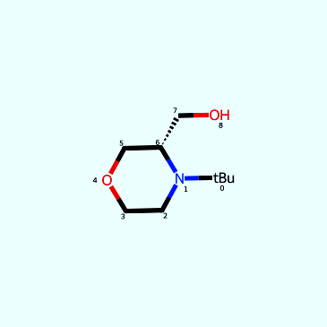 CC(C)(C)N1CCOC[C@@H]1CO